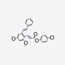 COc1cc(/C=C/c2ccccc2)c(/C=C/C(=O)Oc2ccc(Cl)cc2)c(OC)c1